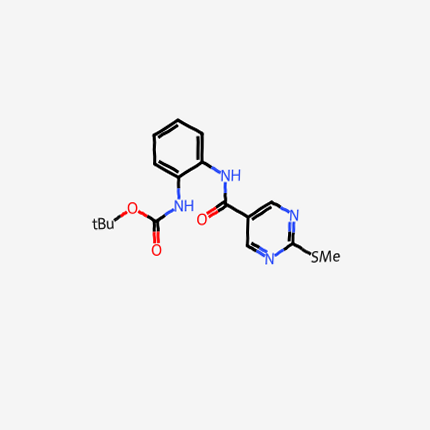 CSc1ncc(C(=O)Nc2ccccc2NC(=O)OC(C)(C)C)cn1